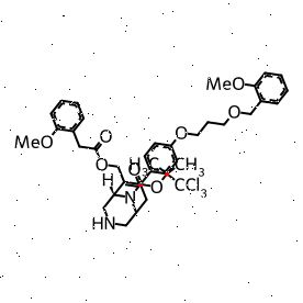 COc1ccccc1COCCCOc1ccc(C2=C(COC(=O)Cc3ccccc3OC)[C@H]3CNCC(C2)N3C(=O)OC(C)(C)C(Cl)(Cl)Cl)cc1